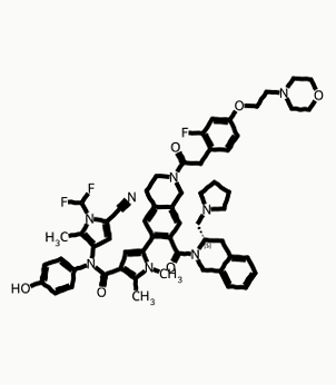 Cc1c(C(=O)N(c2ccc(O)cc2)c2cc(C#N)n(C(F)F)c2C)cc(-c2cc3c(cc2C(=O)N2Cc4ccccc4C[C@H]2CN2CCCC2)CN(C(=O)Cc2ccc(OCCN4CCOCC4)cc2F)CC3)n1C